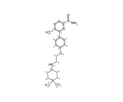 Cc1ccc(C(N)=O)cc1-c1ccc(OCCNC2CCC(C)(C)CC2)cc1